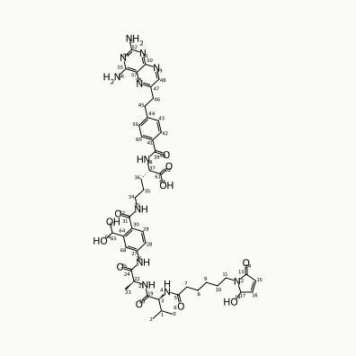 CC(C)[C@H](NC(=O)CCCCCN1C(=O)C=CC1O)C(=O)N[C@@H](C)C(=O)Nc1ccc(C(=O)NCCC[C@H](NC(=O)c2ccc(CCc3cnc4nc(N)nc(N)c4n3)cc2)C(=O)O)c(C(O)O)c1